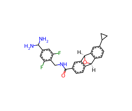 NC(N)c1cc(F)c(CNC(=O)c2ccc3c(c2)[C@@H]2O[C@H]3c3ccc(C4CC4)cc32)c(F)c1